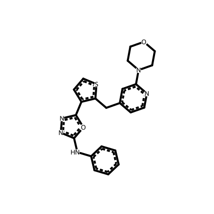 c1ccc(Nc2nnc(-c3ccsc3Cc3ccnc(N4CCOCC4)c3)o2)cc1